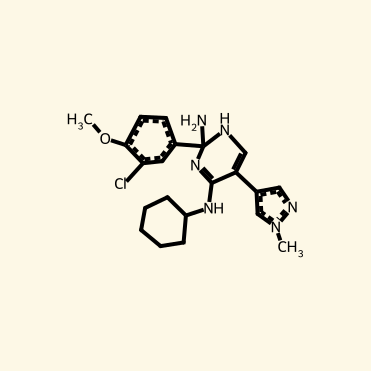 COc1ccc(C2(N)N=C(NC3CCCCC3)C(c3cnn(C)c3)=CN2)cc1Cl